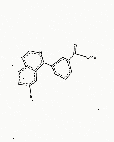 COC(=O)c1cccc(-c2ncnc3ccc(Br)cc23)c1